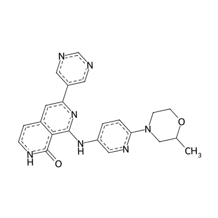 CC1CN(c2ccc(Nc3nc(-c4cncnc4)cc4cc[nH]c(=O)c34)cn2)CCO1